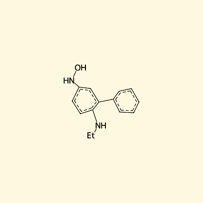 CCNc1ccc(NO)cc1-c1ccccc1